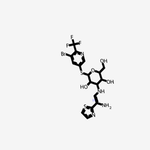 N/C(=C\NC1C(O)C(CO)OC(Sc2cnc(C(F)(F)F)c(Br)c2)C1O)c1nccs1